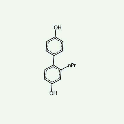 CCCc1cc(O)ccc1-c1ccc(O)cc1